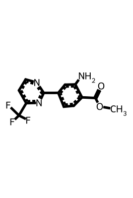 COC(=O)c1ccc(-c2nccc(C(F)(F)F)n2)cc1N